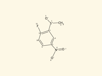 C[S+]([O-])c1cc([N+](=O)[O-])ccc1F